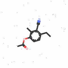 CCc1ccc(OC(C)=O)c(C)c1C#N